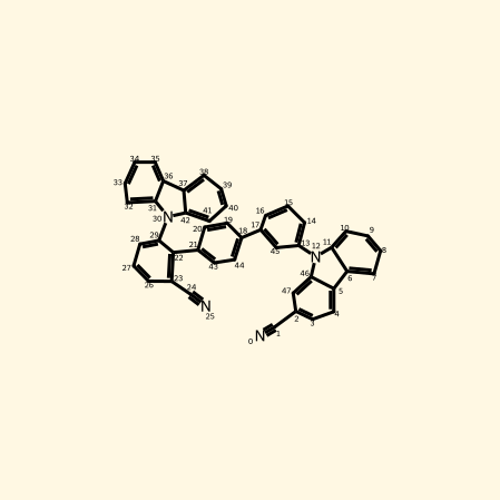 N#Cc1ccc2c3ccccc3n(-c3cccc(-c4ccc(-c5c(C#N)cccc5-n5c6ccccc6c6ccccc65)cc4)c3)c2c1